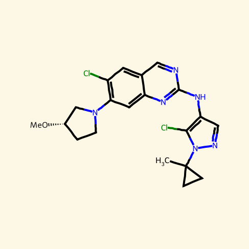 CO[C@H]1CCN(c2cc3nc(Nc4cnn(C5(C)CC5)c4Cl)ncc3cc2Cl)C1